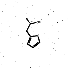 C[C@@H](O)Cc1cccs1